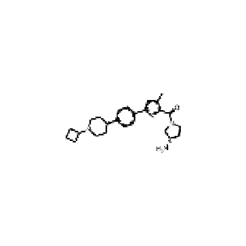 Cc1cc(-c2ccc(C3CCN(C4CCC4)CC3)cc2)sc1C(=O)N1CC[C@H](N)C1